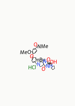 CCCCN1C(=O)[C@@H]([C@H](O)C2CCCC2)NC(=O)C12CCN(Cc1ccc(Oc3ccc(C(=O)NC)cc3OC)cc1)CC2.Cl